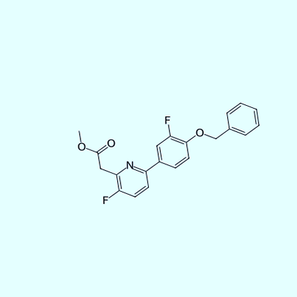 COC(=O)Cc1nc(-c2ccc(OCc3ccccc3)c(F)c2)ccc1F